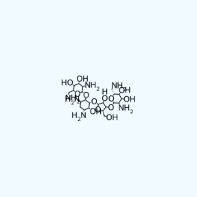 NCC1O[C@H](O[C@@H]2C(N)C[C@@H](N)C(O)[C@H]2O[C@@H]2O[C@H](CO)[C@H](O[C@H]3O[C@H](CN)[C@@H](O)C(O)C3N)C2O)C(N)[C@@H](O)[C@@H]1O